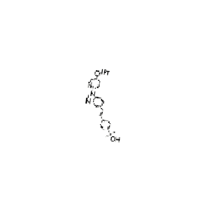 CC(C)Oc1ccc(-n2cnc3cc(C=Cc4ccc(C(C)(C)O)cc4)ccc32)nc1